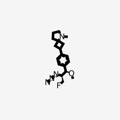 CO[C@H](c1ccc(C2CC3(CCCN3C)C2)cc1)[C@@H](CF)N=[N+]=[N-]